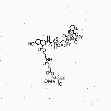 CCCC(=O)OCN(C(=O)[C@@H](NC(=O)[C@H]1CCCCN1C)[C@@H](C)CC)[C@H](C[C@@H](OC(C)=O)C1NC(C(=O)N[C@H]2Cc3ccc(O)cc3[C@H](C(=O)OCCCNC(=O)CCCC(=O)OCC(OC)OC(CC)CO)C2)=CS1)C(C)C